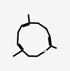 CC1=CCC=C(C)CCC=C(C)CC[CH]1